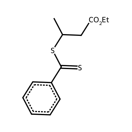 CCOC(=O)CC(C)SC(=S)c1ccccc1